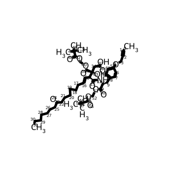 CC#CCOc1ccc(C[C@H](NC(=O)[C@@H](/C=C/CCCCCCC(=O)CCCCCCC)[C@@](O)(CC(=O)O)C(=O)OCOC(=O)C(C)(C)C)C(=O)OCOC(=O)C(C)(C)C)cc1